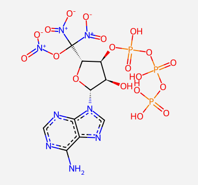 Nc1ncnc2c1ncn2[C@@H]1O[C@H](C(O[N+](=O)[O-])([N+](=O)[O-])[N+](=O)[O-])[C@@H](OP(=O)(O)OP(=O)(O)OP(=O)(O)O)[C@H]1O